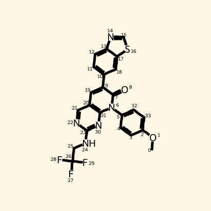 COc1ccc(-n2c(=O)c(-c3ccc4ncsc4c3)cc3cnc(NCC(F)(F)F)nc32)cc1